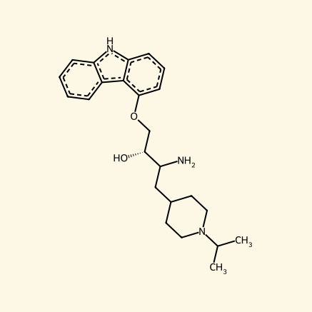 CC(C)N1CCC(CC(N)[C@H](O)COc2cccc3[nH]c4ccccc4c23)CC1